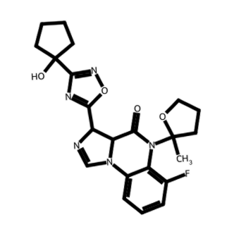 CC1(N2C(=O)C3C(c4nc(C5(O)CCCC5)no4)N=CN3c3cccc(F)c32)CCCO1